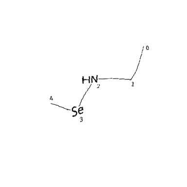 CCN[Se]C